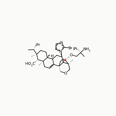 CC(C)[C@@H](C)[C@@]1(C)CC[C@]2(C)[C@H]3CC[C@@H]4[C@@]5(COC[C@]4(C)[C@@H](OC[C@](C)(N)C(C)C)[C@H](n4ccnc4Br)C5)C3=CC[C@@]2(C)[C@@H]1C(=O)O